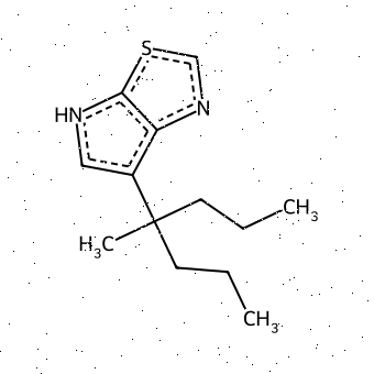 CCCC(C)(CCC)c1c[nH]c2scnc12